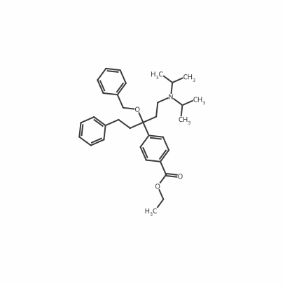 CCOC(=O)c1ccc(C(CCc2ccccc2)(CCN(C(C)C)C(C)C)OCc2ccccc2)cc1